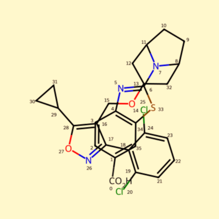 O=C(O)c1ccc2nc(N3C4CCC3CC(OCc3c(-c5c(Cl)cccc5Cl)noc3C3CC3)C4)sc2c1